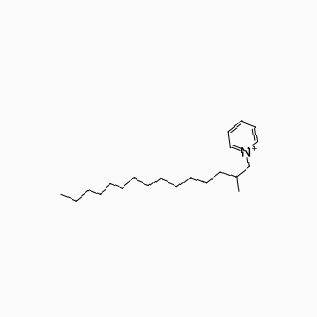 CCCCCCCCCCCCCC(C)C[n+]1ccccc1